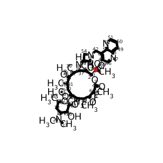 CC[C@H]1OC(=O)[C@@](C)(F)C(=O)[C@H](C)[C@@H](O[C@@H]2O[C@H](C)C[C@H](N(C)C)[C@H]2O)[C@](C)(OC)C[C@@H](C)C(=O)[C@H](C)[C@H](NC2CN(Cc3c(O)cnc4cccnc34)C2)[C@]1(C)OC=O